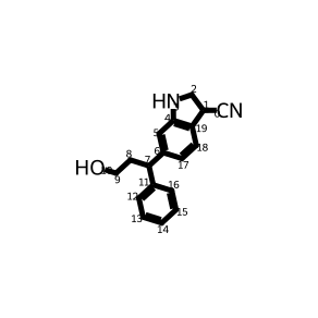 N#CC1CNc2cc(C(CCO)c3ccccc3)ccc21